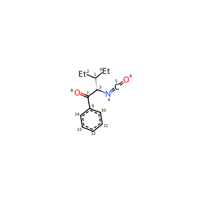 CCC(CC)[C@H](N=C=O)C(=O)c1ccccc1